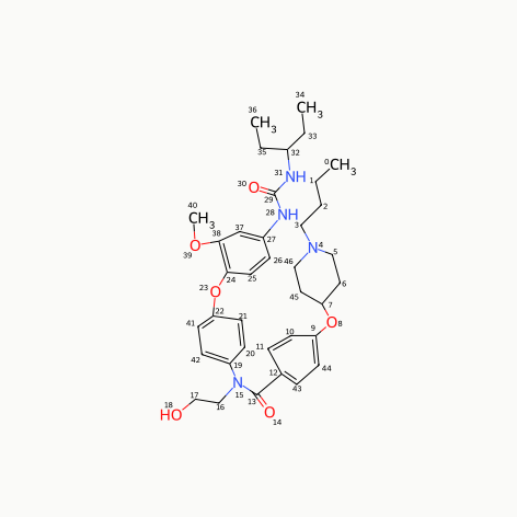 CCCCN1CCC(Oc2ccc(C(=O)N(CCO)c3ccc(Oc4ccc(NC(=O)NC(CC)CC)cc4OC)cc3)cc2)CC1